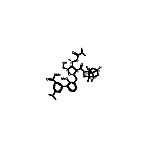 CNC(=O)c1cc(-c2cccc(CN3O[C@@H](CO)[C@@H]([C@H](C)OC(=O)N(C)C)[C@H]3C(=O)N[C@H]3C[C@H]4C[C@@H]([C@@H]3C)C4(C)C)c2OC)cc(N(C)C)c1